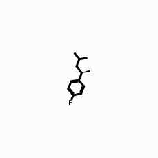 CC(C)C[C@@H](C)c1ccc(F)cc1